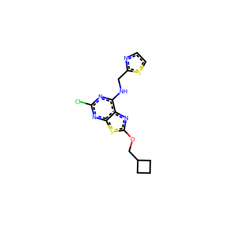 Clc1nc(NCc2nccs2)c2nc(OCC3CCC3)sc2n1